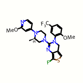 COc1cc(N2CCN(C3=Nc4c(csc4F)CN3c3cc(C(F)(F)F)ccc3OC)C[C@H]2C)ccn1